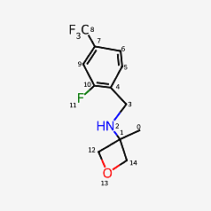 CC1(NCc2ccc(C(F)(F)F)cc2F)COC1